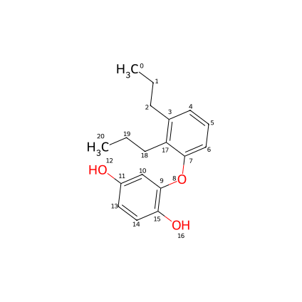 CCCc1cccc(Oc2cc(O)ccc2O)c1CCC